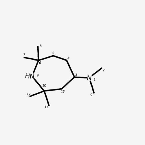 CN(C)C1CCC(C)(C)NC(C)(C)C1